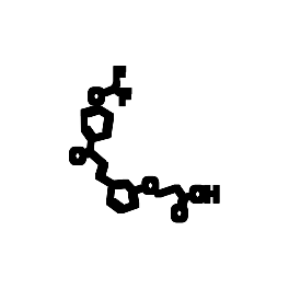 O=C(O)CCOc1cccc(/C=C/C(=O)c2ccc(OC(F)F)cc2)c1